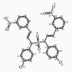 O=[N+]([O-])c1cccc(C=CC(c2ccc(Cl)cc2)S(=O)(=O)C(C=Cc2cccc([N+](=O)[O-])c2)c2ccc(Cl)cc2)c1